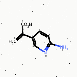 C=C(C(=O)O)c1ccc(N)nc1